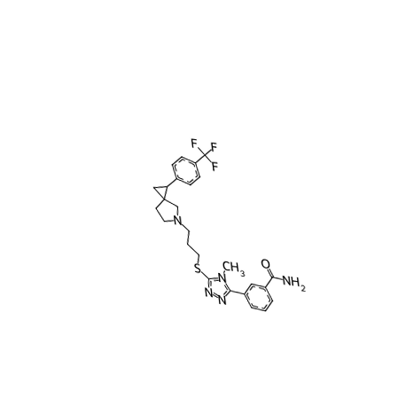 Cn1c(SCCCN2CCC3(CC3c3ccc(C(F)(F)F)cc3)C2)nnc1-c1cccc(C(N)=O)c1